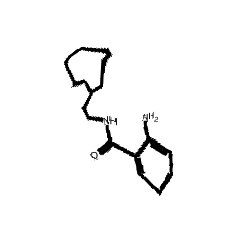 Nc1ccccc1C(=O)NCC1CCCCC1